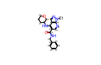 CCn1ncc2c(NC3CCCOC3)c(C(=O)NCc3ccccc3)cnc21